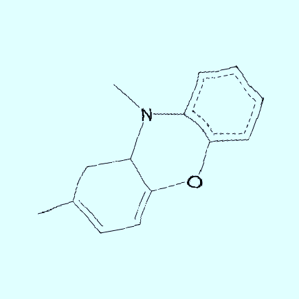 CC1=CC=C2Oc3ccccc3N(C)C2C1